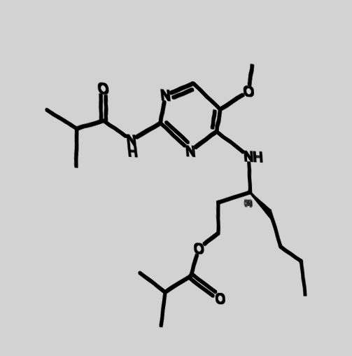 CCCC[C@@H](CCOC(=O)C(C)C)Nc1nc(NC(=O)C(C)C)ncc1OC